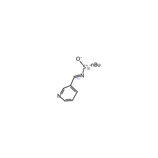 CCCC[S@@+]([O-])/N=C/c1cccnc1